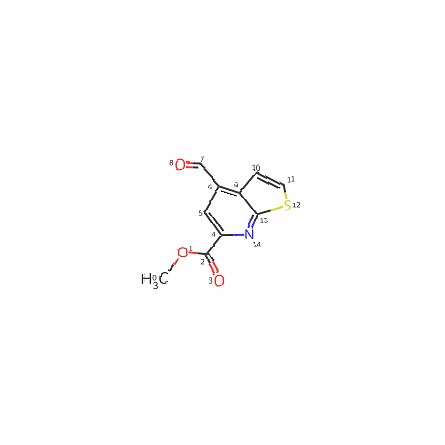 COC(=O)c1cc(C=O)c2ccsc2n1